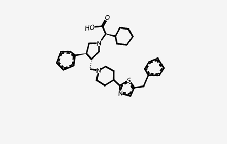 O=C(O)[C@@H](C1CCCCC1)N1C[C@H](CN2CCC(c3ncc(Cc4ccccc4)s3)CC2)[C@@H](c2ccccc2)C1